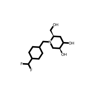 OC[C@H]1CC(O)[C@@H](O)CN1CC1CCC(C(F)F)CC1